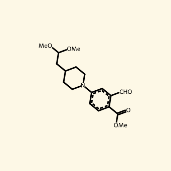 COC(=O)c1ccc(N2CCC(CC(OC)OC)CC2)cc1C=O